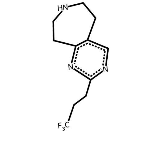 FC(F)(F)CCc1ncc2c(n1)CCNCC2